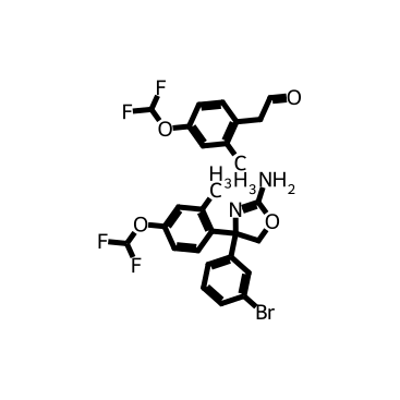 Cc1cc(OC(F)F)ccc1C1(c2cccc(Br)c2)COC(N)=N1.Cc1cc(OC(F)F)ccc1CC=O